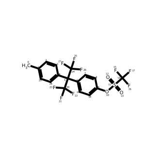 Cc1ccc(C(c2ccc(OS(=O)(=O)C(F)(F)F)cc2)(C(F)(F)F)C(F)(F)F)cc1